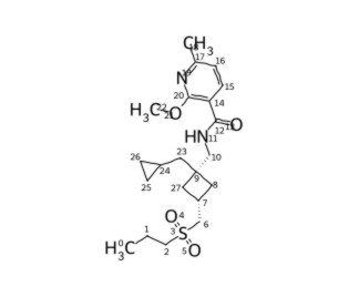 CCCS(=O)(=O)C[C@H]1C[C@](CNC(=O)c2ccc(C)nc2OC)(CC2CC2)C1